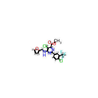 COC(=O)c1nc(-c2ccc(Cl)c(C(F)(F)F)c2)nc(NCc2ccco2)c1Cl